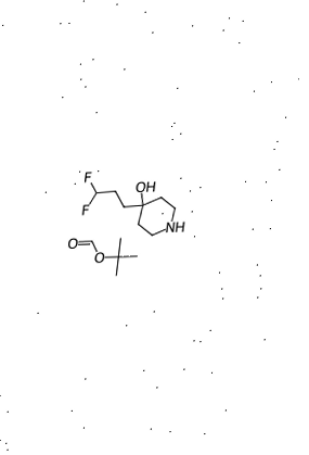 CC(C)(C)OC=O.OC1(CCC(F)F)CCNCC1